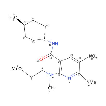 CNc1nc(N(C)CCOC)c(C(=O)N[C@H]2CC[C@H](C)CC2)cc1[N+](=O)[O-]